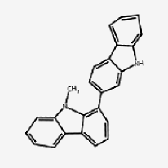 Cn1c2ccccc2c2cccc(-c3ccc4c(c3)[nH]c3ccccc34)c21